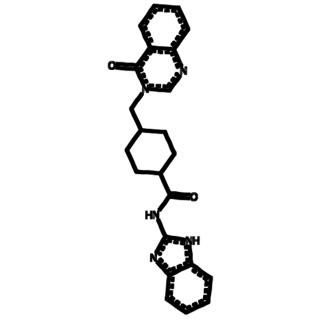 O=C(Nc1nc2ccccc2[nH]1)C1CCC(Cn2cnc3ccccc3c2=O)CC1